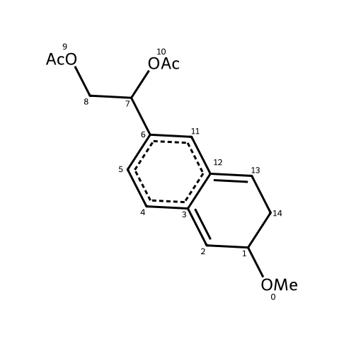 COC1C=c2ccc(C(COC(C)=O)OC(C)=O)cc2=CC1